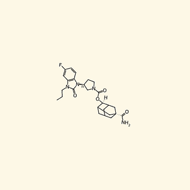 CCCn1c(=O)n([C@H]2CCN(C(=O)O[C@H]3C4CC5CC3C[C@](C(N)=O)(C5)C4)C2)c2ccc(F)cc21